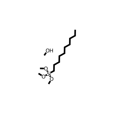 CCCCCCCCCC[Si](OC)(OC)OC.CO